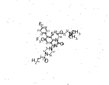 C=CC(=O)N1CCN(c2nc(=O)n3c4c(c(-c5ccc(F)cc5)c(C(F)(F)F)cc24)SCC(OCCN(C)C)C3)CC1